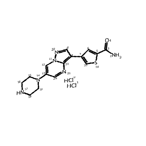 Cl.Cl.NC(=O)c1cc(-c2cnn3cc(N4CCNCC4)cnc23)cs1